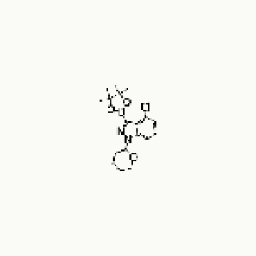 CC1(C)OB(c2nn(C3CCCCO3)c3cccc(Cl)c23)OC1(C)C